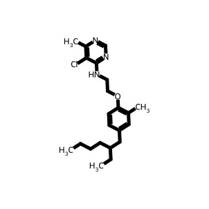 CCCCC(CC)Cc1ccc(OCCNc2ncnc(C)c2Cl)c(C)c1